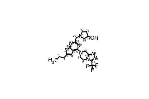 CCCc1cc2c(N3CCn4c(nnc4C(F)(F)F)C3)nc(CN3CCC(O)C3)nc2s1